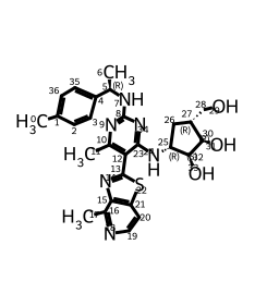 Cc1ccc([C@@H](C)Nc2nc(C)c(-c3nc4c(C)nccc4s3)c(N[C@@H]3C[C@H](CO)[C@@H](O)[C@H]3O)n2)cc1